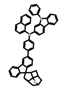 c1ccc(-n2c3ccccc3c3ccc(N(c4ccc(-c5ccc6c(c5)-c5ccccc5C65C6CC7CC8CC5C8(C7)C6)cc4)c4cccc5ccccc45)cc32)cc1